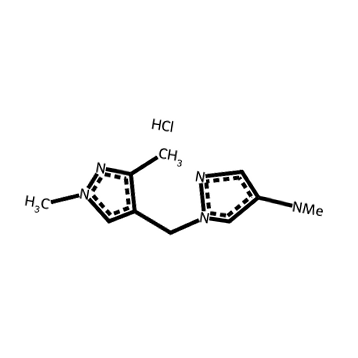 CNc1cnn(Cc2cn(C)nc2C)c1.Cl